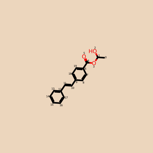 CC(O)OC(=O)c1ccc(C=Cc2ccccc2)cc1